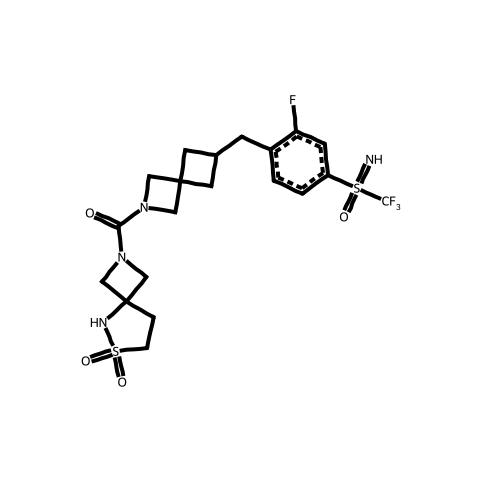 N=S(=O)(c1ccc(CC2CC3(C2)CN(C(=O)N2CC4(CCS(=O)(=O)N4)C2)C3)c(F)c1)C(F)(F)F